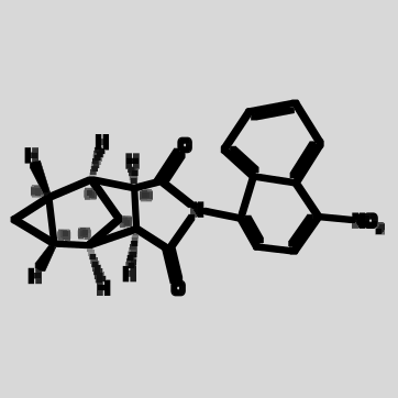 O=C1[C@@H]2[C@H]3C[C@H]([C@@H]4C[C@@H]43)[C@@H]2C(=O)N1c1ccc([N+](=O)[O-])c2ccccc12